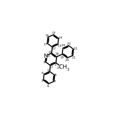 Cc1c(-c2ccccc2)cnc(-c2ccccc2)c1-c1ccccc1